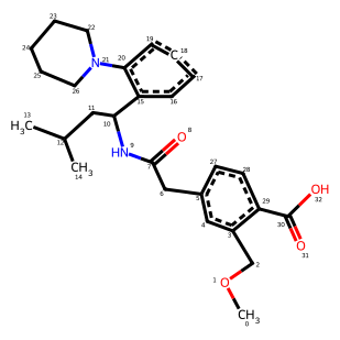 COCc1cc(CC(=O)NC(CC(C)C)c2ccccc2N2CCCCC2)ccc1C(=O)O